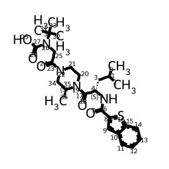 CC(C)C[C@H](NC(=O)c1cc2ccccc2s1)C(=O)N1CCN(C(=O)CN(C(=O)O)C(C)(C)C)C[C@@H]1C